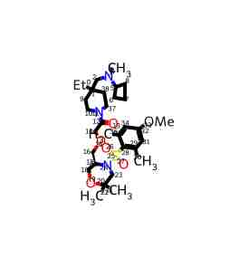 CCC1(CN(C)C2CCC2)CCN(C(=O)COC[C@@H]2COC(C)(C)CN2S(=O)(=O)c2c(C)cc(OC)cc2C)CC1